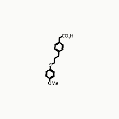 COc1ccc(SCCCc2ccc(CC(=O)O)cc2)cc1